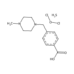 CN1CCN(Cc2ccc(C(=O)O)cc2)CC1.ClOCl.S